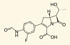 C[C@@H](O)[C@H]1C(=O)N2C(C(=O)O)=C(c3ccc(NC=O)c(F)c3)C[C@H]12